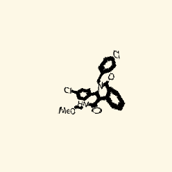 COCCNC(=O)C1c2ccccc2C(=O)N(Cc2ccc(Cl)cc2)C1c1ccc(Cl)cc1